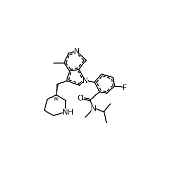 Cc1cncc2c1c(C[C@@H]1CCCNC1)cn2-c1ccc(F)cc1C(=O)N(C)C(C)C